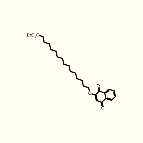 CCOC(=O)CCCCCCCCCCCCCCCOC1=CC(=O)c2ccccc2C1=O